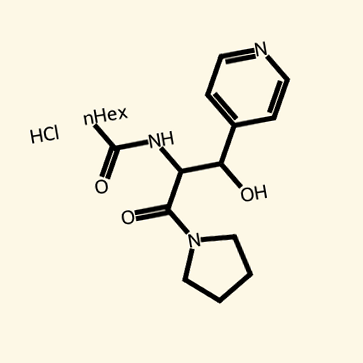 CCCCCCC(=O)NC(C(=O)N1CCCC1)C(O)c1ccncc1.Cl